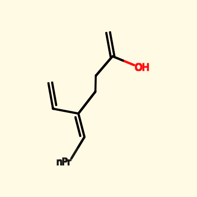 C=C/C(=C\CCC)CCC(=C)O